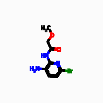 COCC(=O)Nc1nc(Br)ccc1N